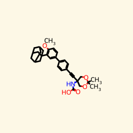 COc1ccc(-c2ccc(C#CC3(NC(=O)O)COC(C)(C)OC3)cc2)cc1C12CC3CC(CC(C3)C1)C2